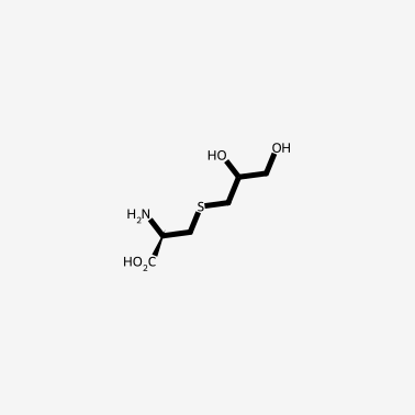 N[C@@H](CSCC(O)CO)C(=O)O